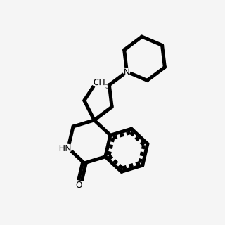 CCC1(CCN2CCCCC2)CNC(=O)c2ccccc21